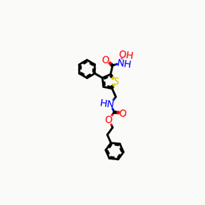 O=C(NCc1cc(-c2ccccc2)c(C(=O)NO)s1)OCCc1ccccc1